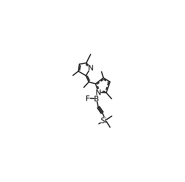 CC1=CC(C)=N/C1=C(/C)c1c(C)cc(C)n1B(F)C#C[Si](C)(C)C